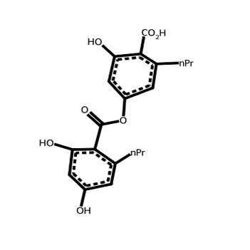 CCCc1cc(OC(=O)c2c(O)cc(O)cc2CCC)cc(O)c1C(=O)O